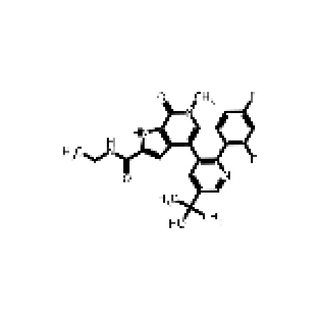 CCNC(=O)c1cc2c(-c3cc(C(C)(C)O)cnc3-c3ccc(F)cc3F)cn(C)c(=O)c2[nH]1